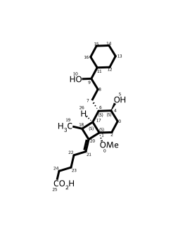 CO[C@@]12CC[C@H](O)[C@@H](CCC(O)C3CCCCC3)[C@@H]1C(C)C2=CCCCC(=O)O